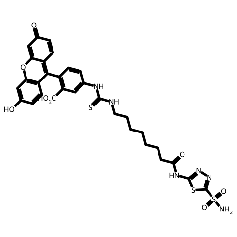 NS(=O)(=O)c1nnc(NC(=O)CCCCCCCNC(=S)Nc2ccc(-c3c4ccc(=O)cc-4oc4cc(O)ccc34)c(C(=O)O)c2)s1